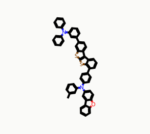 Cc1cccc(N(c2ccc(-c3cccc4c3sc3sc5cc(-c6cccc(N(c7ccccc7)c7ccccc7)c6)ccc5c34)cc2)c2ccc3oc4ccccc4c3c2)c1